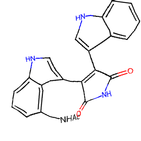 CC(=O)Nc1cccc2[nH]cc(C3=C(c4c[nH]c5ccccc45)C(=O)NC3=O)c12